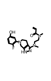 C=CC(=O)N(C)CCN(C)c1n[nH]c2c1CCN(c1cc(O)ccc1F)C2